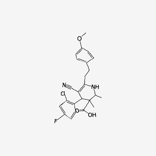 COc1ccc(CCC2=C(C#N)C(c3ccc(F)cc3Cl)C(C)(C(=O)O)C(C)N2)cc1